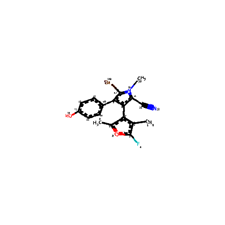 Cc1oc(F)c(C)c1-c1c(-c2ccc(O)cc2)c(Br)n(C)c1C#N